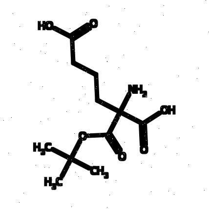 CC(C)(C)OC(=O)C(N)(CCCC(=O)O)C(=O)O